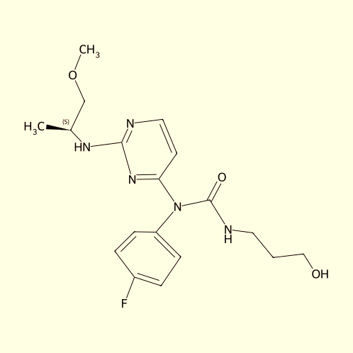 COC[C@H](C)Nc1nccc(N(C(=O)NCCCO)c2ccc(F)cc2)n1